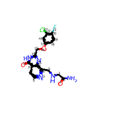 NC(=O)CNCc1nccc2c(=O)[nH]c(COc3ccc(F)c(Cl)c3)nc12